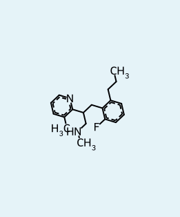 CCCc1cccc(F)c1CC(CNC)c1ncccc1C